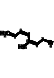 C=C/C=C\C(S)=C/CBr